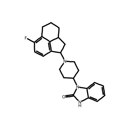 O=c1[nH]c2ccccc2n1C1CCN(C2CC3CCCc4c(F)ccc2c43)CC1